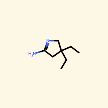 CCC1(CC)CN=C(N)C1